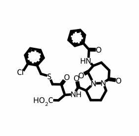 O=C(O)CC(NC(=O)C1CCCN2C(=O)CCC(NC(=O)c3ccccc3)C(=O)N12)C(=O)CSCc1ccccc1Cl